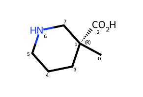 C[C@@]1(C(=O)O)CCCNC1